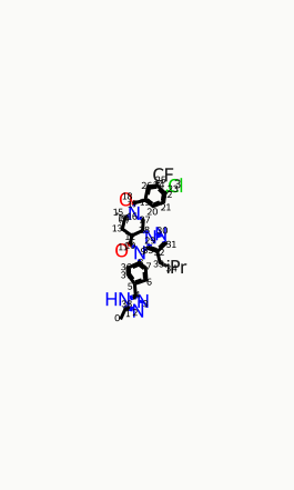 Cc1nnc(-c2ccc(N3C(=O)C4C[C@H](C)N(C(=O)c5ccc(Cl)c(C(F)(F)F)c5)CC4n4ncc(CC(C)C)c43)cc2)[nH]1